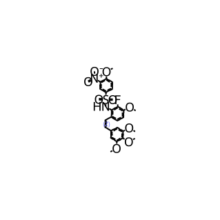 COc1ccc(S(=O)(=O)Nc2c(/C=C\c3cc(OC)c(OC)c(OC)c3)ccc(OC)c2F)cc1[N+](=O)[O-]